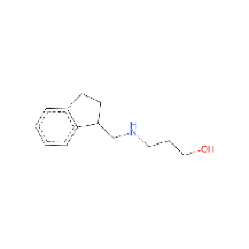 OCCCNCC1CCc2ccccc21